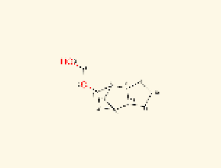 OCOC1CC2CC1C1CCCC21